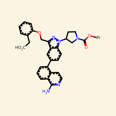 CC(C)OC(=O)N1CCC(n2nc(COc3ccccc3CC(=O)O)c3cc(-c4cccc5c(N)nccc45)ccc32)C1